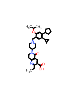 CCc1nc2c(cc1C(=O)O)C(=O)N(C1CCN(Cc3cc(C4CC4)c(C4CCCC4)cc3OC(C)C)CC1)CC2